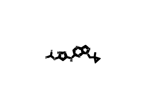 CC1(Cn2ncc3ncc(Nc4cc(OC(F)F)[nH]n4)nc32)CC1